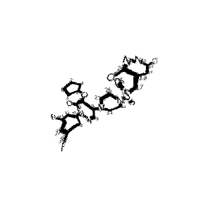 O=c1c(OC2CCCC2)c(N2CCN(S(=O)(=O)Cc3cc(Cl)nnc3Cl)CC2)cnn1-c1cc(F)cc(F)c1